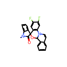 CN1C(=O)C2(OC3c4ccccc4C=CN3c3cc(F)c(F)cc32)c2ccccc21